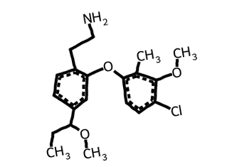 CCC(OC)c1ccc(CCN)c(Oc2ccc(Cl)c(OC)c2C)c1